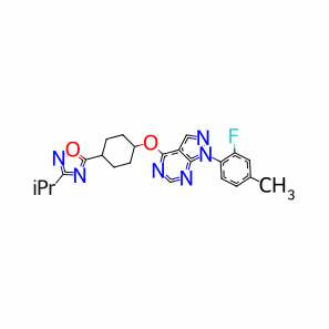 Cc1ccc(-n2ncc3c(OC4CCC(c5nc(C(C)C)no5)CC4)ncnc32)c(F)c1